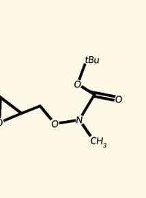 CN(OCC1CO1)C(=O)OC(C)(C)C